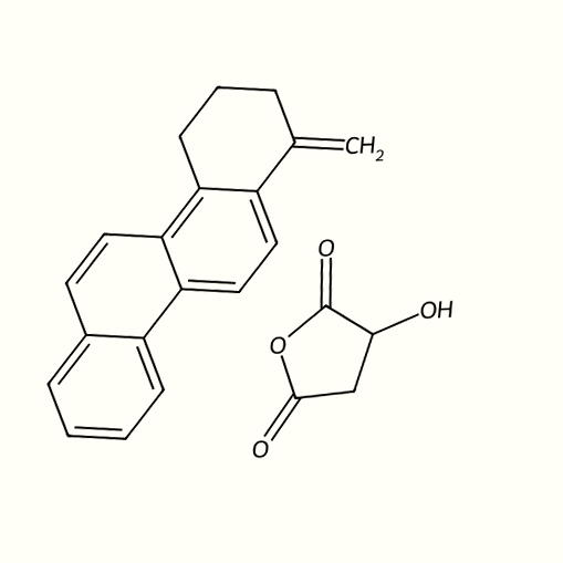 C=C1CCCc2c1ccc1c2ccc2ccccc21.O=C1CC(O)C(=O)O1